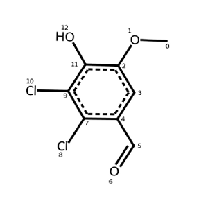 COc1cc(C=O)c(Cl)c(Cl)c1O